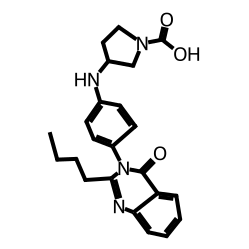 CCCCc1nc2ccccc2c(=O)n1-c1ccc(NC2CCN(C(=O)O)C2)cc1